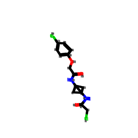 O=C(CCl)NC12CC1(NC(=O)COc1ccc(Cl)cc1)C2